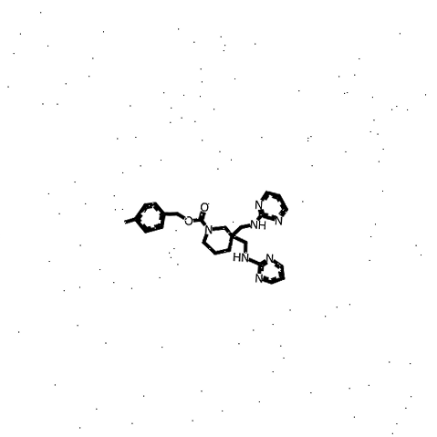 Cc1ccc(COC(=O)N2CCCC(CNc3ncccn3)(CNc3ncccn3)C2)cc1